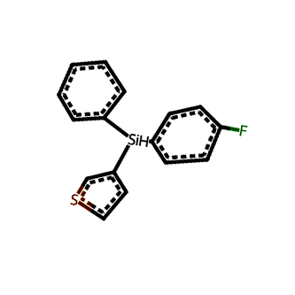 Fc1ccc([SiH](c2ccccc2)c2ccsc2)cc1